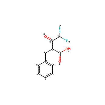 O=C(O)C(Cc1ccccc1)C(=O)C(F)F